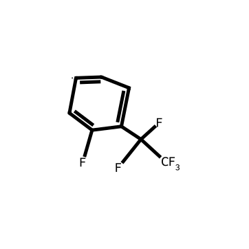 Fc1c[c]ccc1C(F)(F)C(F)(F)F